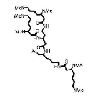 CNCCCCC(CC(=O)NCCCCC(CC(C)=O)NC(=O)CC(CCNC(=O)CC(CCCCNC)NC)NC(=O)CC(CCCCNC)NC)NC